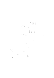 CNC(=O)NC(=O)C(CC1CCCC1)c1ccc(C[SH](=O)=O)c(Br)c1